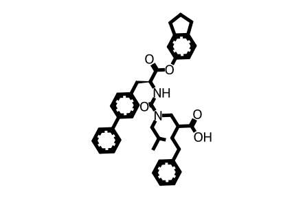 CC(C)CN(CC(CCc1ccccc1)C(=O)O)C(=O)N[C@@H](Cc1ccc(-c2ccccc2)cc1)C(=O)Oc1ccc2c(c1)CCC2